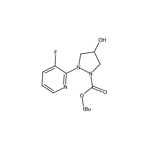 CC(C)(C)OC(=O)N1CC(O)CN1c1ncccc1F